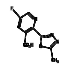 Cc1nnc(-c2ncc(F)cc2C(=O)O)o1